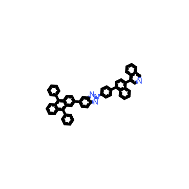 c1ccc(-c2c3ccccc3c(-c3ccccc3)c3cc(-c4ccc5nn(-c6ccc(-c7ccc(-c8cncc9ccccc89)c8ccccc78)cc6)nc5c4)ccc23)cc1